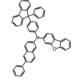 c1ccc(-c2ccc3cc(N(c4ccc(C5(c6ccccc6)c6ccccc6-c6ccccc65)cc4)c4ccc5c(c4)oc4ccccc45)ccc3c2)cc1